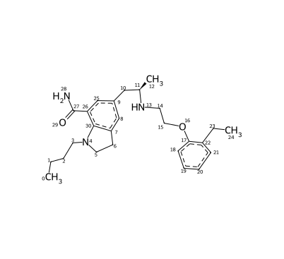 CCCCN1CCc2cc(C[C@@H](C)NCCOc3ccccc3CC)cc(C(N)=O)c21